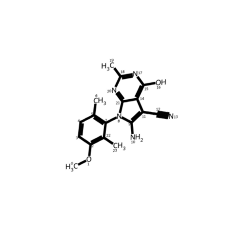 COc1ccc(C)c(-n2c(N)c(C#N)c3c(O)nc(C)nc32)c1C